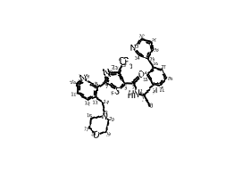 CC(NC(=O)c1sc(-c2ncccc2CN2CCOCC2)nc1C(F)(F)F)c1cccc(-c2cccnc2)c1